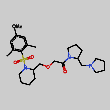 COc1cc(C)c(S(=O)(=O)N2CCCCC2COCC(=O)N2CCCC2CN2CCCC2)c(C)c1